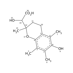 Cc1c(C)c2c(c(C)c1O)CCC(C)(C(O)C(=O)O)O2